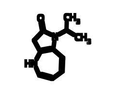 CC(C)N1C(=O)CC2=C1C=CC=CN2